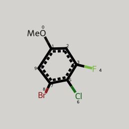 COc1cc(F)c(Cl)c(Br)c1